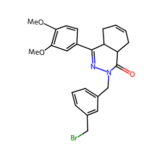 COc1ccc(C2=NN(Cc3cccc(CBr)c3)C(=O)C3CC=CCC23)cc1OC